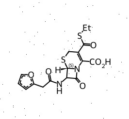 CCSC(=O)C1=C(C(=O)O)N2C(=O)C(NC(=O)Cc3ccco3)[C@@H]2SC1